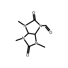 CN1C(=O)N(C)C2C1N(C)C(=O)N2C=O